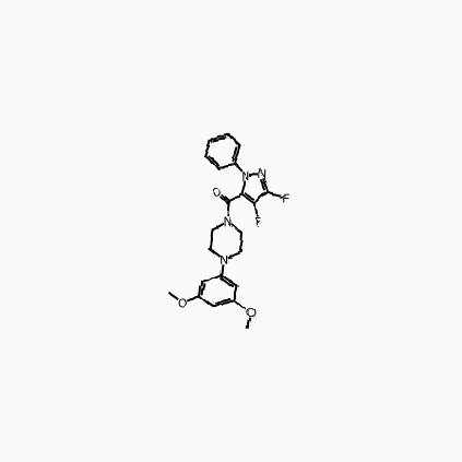 COc1cc(OC)cc(N2CCN(C(=O)c3c(F)c(F)nn3-c3ccccc3)CC2)c1